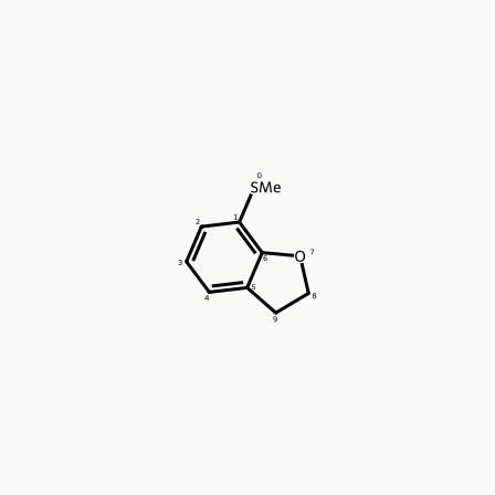 CSc1cccc2c1OCC2